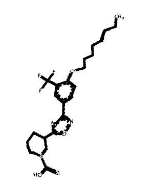 CCCCCCCCOc1ccc(-c2noc(C3CCCN(C(=O)O)C3)n2)cc1C(F)(F)F